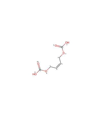 O=C(O)OC/C=C\COC(=O)O